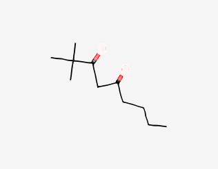 [CH2]C(C)(C)C(=O)CC(=O)CCCC